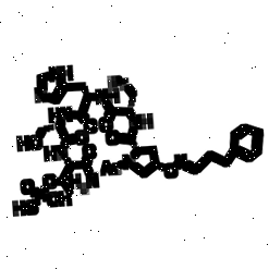 CC(=O)N1C[C@H](O/N=C/CCc2ccccc2)C[C@H]1C(=O)N[C@@H](CC(C)C)C(=O)N[C@@H](Cc1cnc[nH]1)C(=O)N[C@@H](CO)C(=O)N[C@H](C(N)=O)[C@@H](C)OP(=O)(O)O